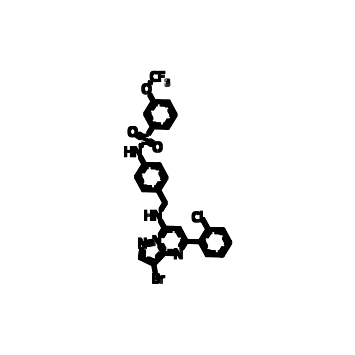 O=S(=O)(Nc1ccc(CNc2cc(-c3ccccc3Cl)nc3c(Br)cnn23)cc1)c1cccc(OC(F)(F)F)c1